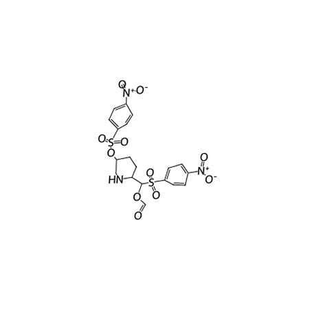 O=COC(C1CCC(OS(=O)(=O)c2ccc([N+](=O)[O-])cc2)CN1)S(=O)(=O)c1ccc([N+](=O)[O-])cc1